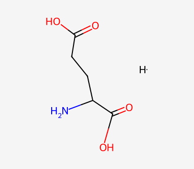 NC(CCC(=O)O)C(=O)O.[H]